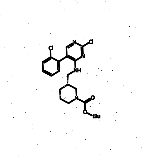 CC(C)(C)OC(=O)N1CCC[C@H](CNc2nc(Cl)ncc2-c2ccccc2Cl)C1